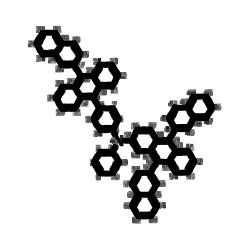 c1ccc(N(c2ccc(-c3c4ccccc4c(-c4ccc5ccccc5c4)c4ccccc34)cc2)c2ccc3c(-c4ccc5ccccc5c4)c4ccccc4c(-c4ccc5ccccc5c4)c3c2)cc1